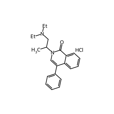 CCN(CC)CC(C)n1cc(-c2ccccc2)c2ccccc2c1=O.Cl